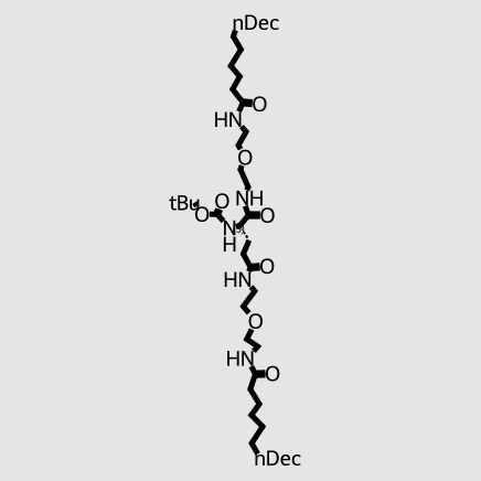 CCCCCCCCCCCCCCCC(=O)NCCOCCNC(=O)CC[C@H](NC(=O)OC(C)(C)C)C(=O)NCCOCCNC(=O)CCCCCCCCCCCCCCC